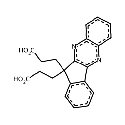 O=C(O)CCC1(CCC(=O)O)c2ccccc2-c2nc3ccccc3nc21